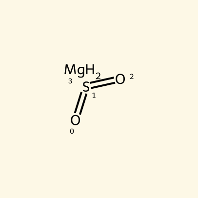 O=S=O.[MgH2]